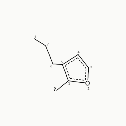 [CH2]c1occc1CCC